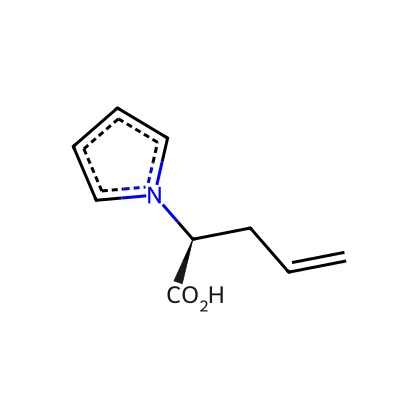 C=CC[C@@H](C(=O)O)n1cccc1